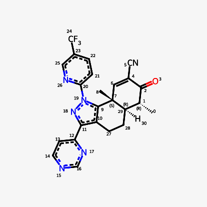 C[C@H]1C(=O)C(C#N)=C[C@@]2(C)c3c(c(-c4ccncn4)nn3-c3ccc(C(F)(F)F)cn3)CC[C@H]12